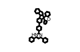 C1=C(c2ccccc2)NC(c2ccc(-c3ccc4c(c3)C3(c5ccccc5Oc5ccccc53)c3ccc5ccccc5c3-4)cc2)N=C1c1ccccc1